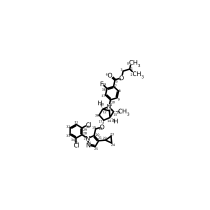 CC(C)COC(=O)c1ccc(N2[C@H]3C[C@@H]([C@H]2C)[C@H](OCc2c(C4CC4)cnn2-c2c(Cl)cccc2Cl)C3)cc1F